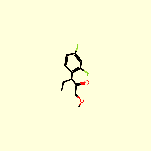 CCC(C(=O)COC)c1ccc(F)cc1F